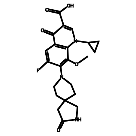 COc1c(N2CCC3(CC2)CNC(=O)C3)c(F)cc2c(=O)c(C(=O)O)cn(C3CC3)c12